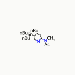 CCC[CH2][Sn]([CH2]CCC)([CH2]CCC)[c]1ccc(N(C)C(C)=O)nc1